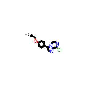 C#CCOc1ccc(-c2cnc3c(Cl)nccn23)cc1